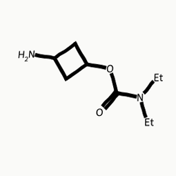 CCN(CC)C(=O)OC1CC(N)C1